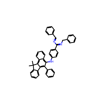 CC1(C)c2ccccc2-c2c(-c3ccccc3)c(Nc3ccc(C(=N/Cc4ccccc4)/N=C/c4ccccc4)cc3)c3ccccc3c21